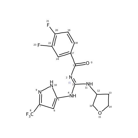 O=C(/N=C(/Nc1cc(C(F)(F)F)n[nH]1)NC1CCOC1)c1ccc(F)c(F)c1